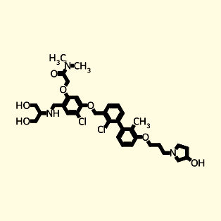 Cc1c(OCCCN2CCC(O)C2)cccc1-c1cccc(COc2cc(OCC(=O)N(C)C)c(CNC(CO)CO)cc2Cl)c1Cl